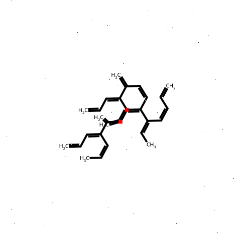 C=C\C=C/C(=C\C)C(/C=C\C(=C)C(/C=C\C(=C)C(/C=C\C)=C/C=C)=C/C=C)=C\C=C